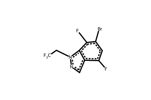 Fc1cc(Br)c(F)c2c1cnn2CC(F)(F)F